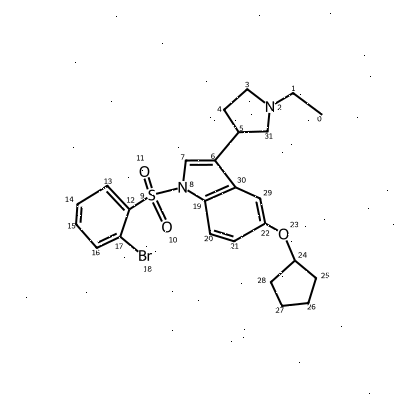 CCN1CCC(c2cn(S(=O)(=O)c3ccccc3Br)c3ccc(OC4CCCC4)cc23)C1